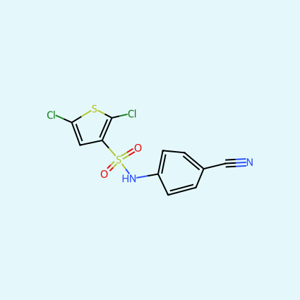 N#Cc1ccc(NS(=O)(=O)c2cc(Cl)sc2Cl)cc1